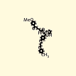 COc1ccc(C(=O)CCCCC(=O)N[C@H](CN2CCCC2)[C@@H](O)c2ccc(OCCCOc3ccc(C)cc3)cc2)cc1